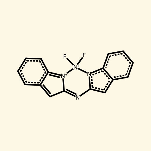 F[N+]1(F)n2c(cc3ccccc32)N=C2C=c3ccccc3=[N+]21